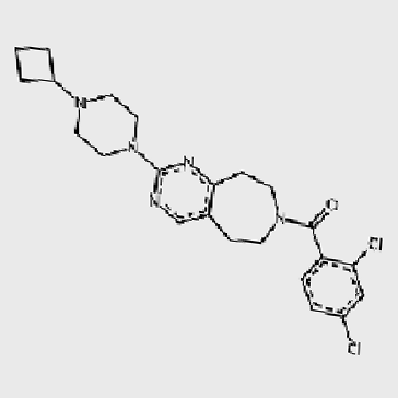 O=C(c1ccc(Cl)cc1Cl)N1CCc2cnc(N3CCN(C4CCC4)CC3)nc2CC1